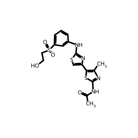 CC(=O)Nc1nc(C)c(-c2csc(Nc3cccc(S(=O)(=O)CCO)c3)n2)s1